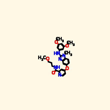 COCCCNC(=O)c1cc(Oc2ccc3c(c2)nc(Nc2cc(OC)cc(OC)c2)n3C)ccn1